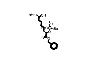 CCCCCC[C@@H](O)CCCCC[C@@H](O[Si](C)(C)C(C)(C)C)C(=O)OCc1ccccc1